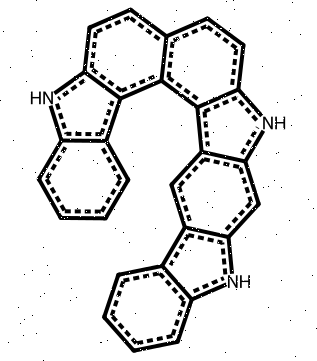 c1ccc2c(c1)[nH]c1cc3[nH]c4ccc5ccc6[nH]c7ccccc7c6c5c4c3cc12